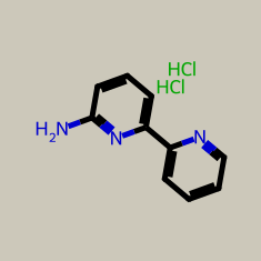 Cl.Cl.Nc1cccc(-c2ccccn2)n1